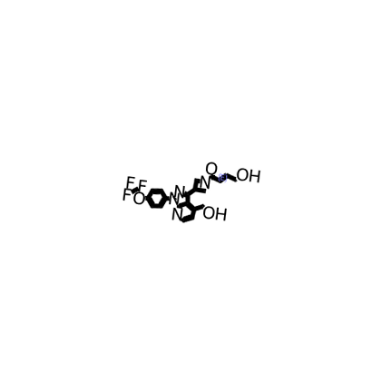 O=C(/C=C/CO)N1CC(c2nn(-c3ccc(OC(F)(F)F)cc3)c3nccc(CO)c23)C1